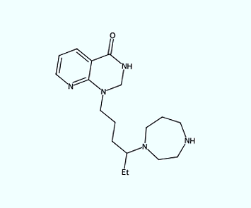 CCC(CCCN1CNC(=O)c2cccnc21)N1CCCNCC1